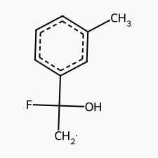 [CH2]C(O)(F)c1cccc(C)c1